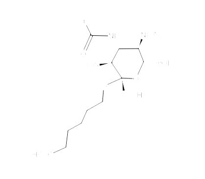 CCC(=O)N[C@@H]1[C@@H](NC(C)=O)[C@H](O)O[C@@](OCCCCCC(=O)O)(C(=O)O)[C@H]1O